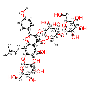 COc1ccc(-c2oc3c(CC=C(C)C)c(O[C@@H]4O[C@H](CO)[C@@H](O)[C@H](O)[C@H]4O)cc(O)c3c(=O)c2O[C@@H]2O[C@@H](C)[C@H](O[C@@H]3O[C@H](CO)[C@@H](O)[C@H](O)[C@H]3O)[C@@H](O)[C@H]2O)cc1